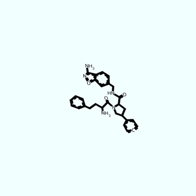 Nc1noc2cc(CNC(=O)C3CC(c4ccccc4)CN3C(=O)C(N)CCc3ccccc3)ccc12